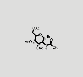 CC(=O)OCC1O[C@H](Br)C(NC(=O)C(F)(F)F)[C@@H](OC(C)=O)[C@@H]1OC(C)=O